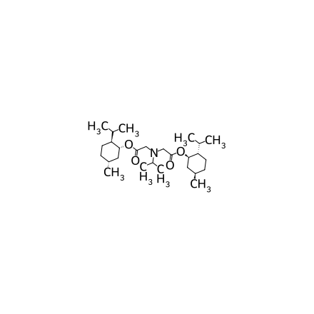 CC(C)[C@@H]1CC[C@@H](C)C[C@H]1OC(=O)CN(CC(=O)O[C@@H]1C[C@H](C)CC[C@H]1C(C)C)C(C)C